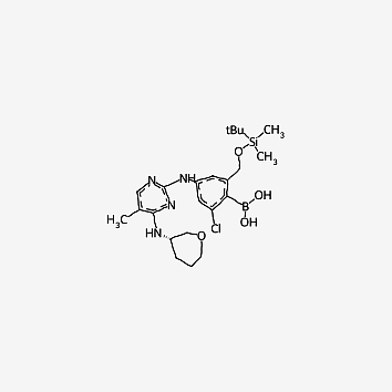 Cc1cnc(Nc2cc(Cl)c(B(O)O)c(CO[Si](C)(C)C(C)(C)C)c2)nc1N[C@H]1CCCOC1